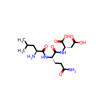 CC(C)C[C@H](N)C(=O)N[C@@H](CCC(N)=O)C(=O)N[C@@H](CC(=O)O)C(=O)O